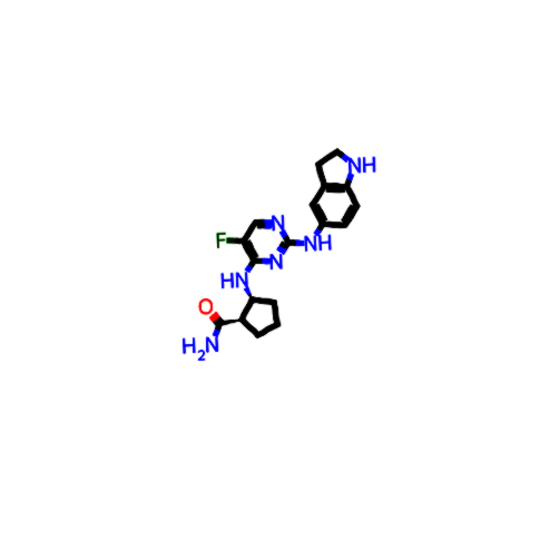 NC(=O)[C@@H]1CCC[C@@H]1Nc1nc(Nc2ccc3c(c2)CCN3)ncc1F